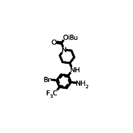 CC(C)COC(=O)N1CCC(Nc2cc(Br)c(C(F)(F)F)cc2N)CC1